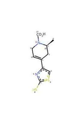 C[C@H]1CC(c2csc(S)n2)=CCN1C(=O)O